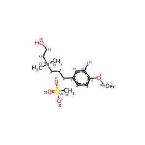 CCCCCCCCCCOc1ccc(CCC[N+](C)(C)CCO)cc1I.CS(=O)(=O)[O-]